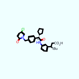 CC(C)(C)C(CC(=O)O)c1cccc(NC(=O)[C@H](c2ccc(Cn3cc(Cl)ccc3=O)cc2)C2CCCC2)c1